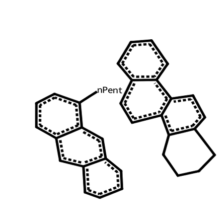 CCCCCc1cccc2cc3ccccc3cc12.c1ccc2c(c1)ccc1c3c(ccc12)CCCC3